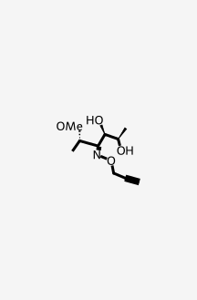 C#CCO/N=C(/[C@H](C)OC)[C@@H](O)[C@@H](C)O